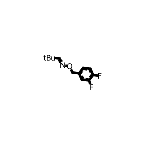 CC(C)(C)C=NOCc1ccc(F)c(F)c1